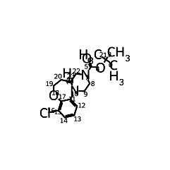 CC(C)(C)OC(=O)N1CCN2c3cccc(Cl)c3OCC[C@H]2C1